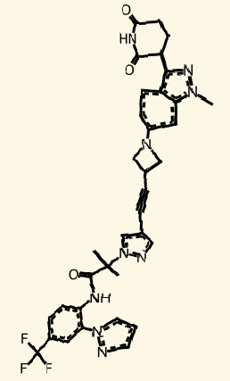 Cn1nc(C2CCC(=O)NC2=O)c2ccc(N3CC(C#Cc4cnn(C(C)(C)C(=O)Nc5ccc(C(F)(F)F)cc5-n5cccn5)c4)C3)cc21